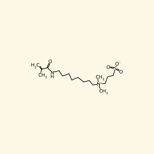 C=C(C)C(=O)NCCCCCCCC[N+](C)(C)CCCS(=O)(=O)[O-]